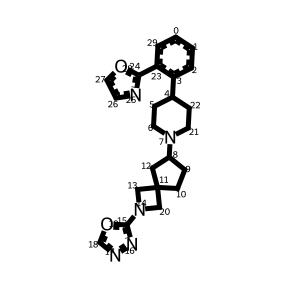 c1ccc(C2CCN(C3CCC4(C3)CN(c3nnco3)C4)CC2)c(-c2ncco2)c1